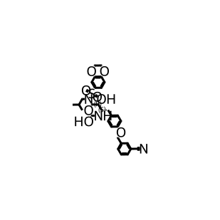 CC(C)CN(C[C@@H](O)[C@H](Cc1ccc(OCc2cccc(C#N)c2)cc1)NC(=O)O)S(=O)(=O)c1ccc2c(c1)OCCO2